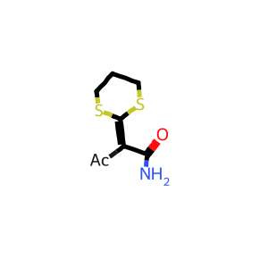 CC(=O)C(C(N)=O)=C1SCCCS1